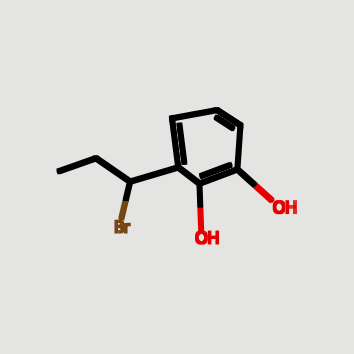 CCC(Br)c1cccc(O)c1O